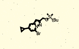 CC(C)(C)[Si](C)(C)OCc1cc2cc(C3CC3)cc(Br)n2n1